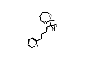 CC1(C2(C=CCCC3=CC=CCO3)N=N2)OCCCCO1